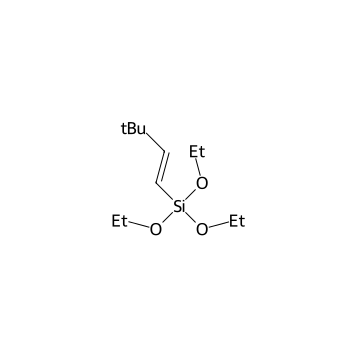 CCO[Si](C=CC(C)(C)C)(OCC)OCC